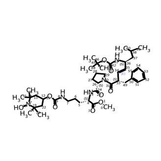 COC(=O)[C@H](CCCNC(=O)OC1CC(C)(C)N(O)C(C)(C)C1)NC(=O)[C@@H]1CCCN1C(=O)[C@H](/C=C/[C@H](CC(C)C)NC(=O)OC(C)(C)C)Cc1ccccc1